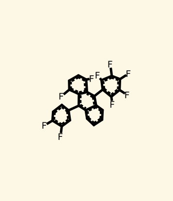 Fc1ccc(-c2c3ccccc3c(-c3c(F)c(F)c(F)c(F)c3F)c3c(F)ccc(F)c23)cc1F